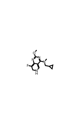 COc1nc(N(C)CC2CC2)c2c(n1)=C(F)CNC=2